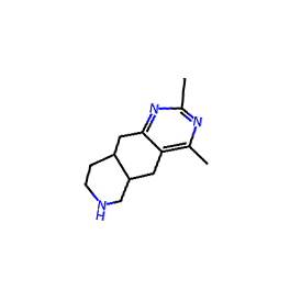 Cc1nc(C)c2c(n1)CC1CCNCC1C2